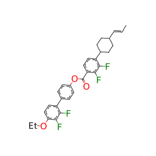 C/C=C/C1CCC(c2ccc(C(=O)Oc3ccc(-c4ccc(OCC)c(F)c4F)cc3)c(F)c2F)CC1